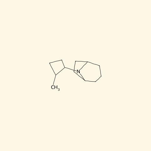 CC1CCC1N1C2CCCC1CC2